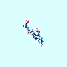 COc1ccc(-c2cnc3c(Nc4ccc(C(=O)NCCC[N+](C)(C)CCO)c(Cl)c4)nccn23)c(F)c1F.O=C[O-]